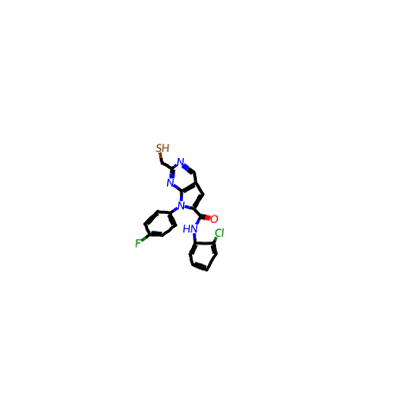 O=C(Nc1ccccc1Cl)c1cc2cnc(CS)nc2n1-c1ccc(F)cc1